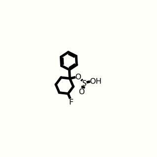 O=S(O)OC1(c2ccccc2)CCCC(F)C1